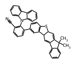 CC1(C)C2=CC3Sc4ccc(-c5cccc(C#N)c5-n5c6ccccc6c6ccccc65)cc4C3C=C2c2ccccc21